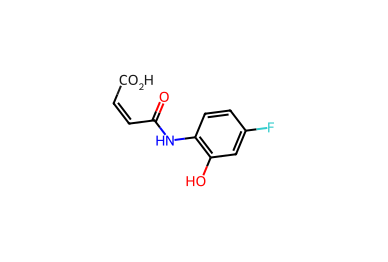 O=C(O)/C=C\C(=O)Nc1ccc(F)cc1O